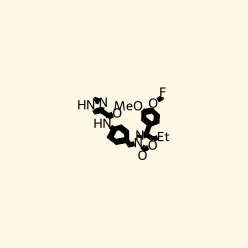 CCC1OC(=O)N(Cc2ccc(NC(=O)c3c[nH]cn3)cc2)N=C1c1ccc(OCF)c(OC)c1